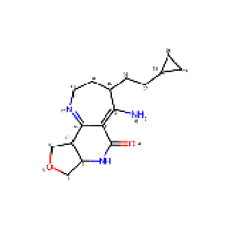 NC1=C2C(=O)NC3COCC3C2=NCCC1CCC1CC1